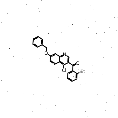 CCc1ccccc1C(=O)c1cnc2cc(OCc3ccccc3)ccc2c1Cl